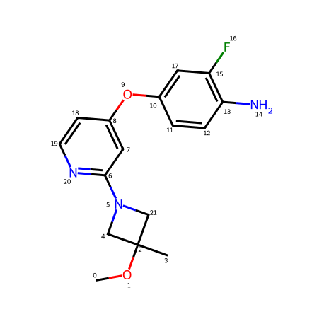 COC1(C)CN(c2cc(Oc3ccc(N)c(F)c3)ccn2)C1